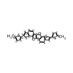 Cc1ccc(-c2cc3ccc4c5oc6c(ccc7cc(-c8ccc(C)s8)sc76)c5oc4c3s2)s1